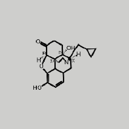 O=C1CC[C@@]2(O)[C@H]3CC4C=CC(O)=C5O[C@@H]1[C@]2(CCN3CC1CC1)C54